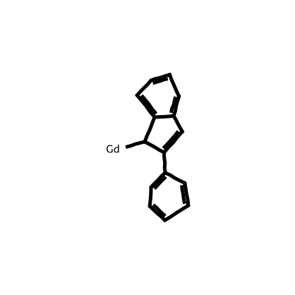 C[C]1C(c2ccccc2)=Cc2ccccc21.[Gd]